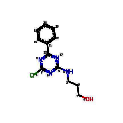 OCCCNc1nc(Cl)nc(-c2ccccc2)n1